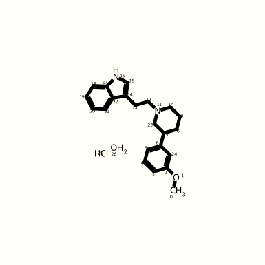 COc1cccc(C2CCCN(CCc3c[nH]c4ccccc34)C2)c1.Cl.O